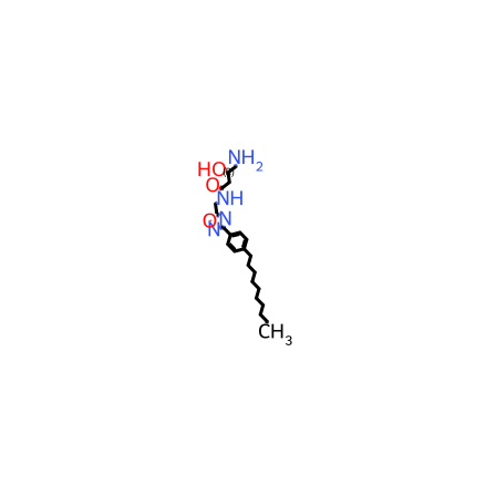 CCCCCCCCCCc1ccc(-c2noc(CNC(=O)C[C@@H](O)CN)n2)cc1